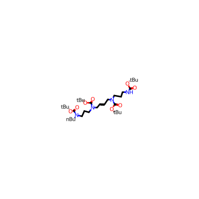 CCCCN(CCCN(CC=CCN(CCCNC(=O)OC(C)(C)C)C(=O)OC(C)(C)C)C(=O)OC(C)(C)C)C(=O)OC(C)(C)C